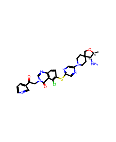 C[C@@H]1OCC2(CCN(c3cnc(Sc4ccc5ncn(CC(=O)c6cccnc6)c(=O)c5c4Cl)cn3)CC2)[C@@H]1N